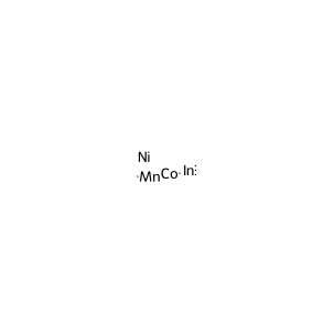 [Co].[In].[Mn].[Ni]